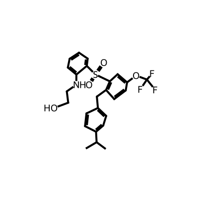 CC(C)c1ccc(Cc2ccc(OC(F)(F)F)cc2S(=O)(=O)c2ccccc2NCCO)cc1